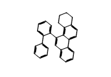 c1ccc(-c2ccccc2-c2cc3ccccc3c3ccc4c(c23)CCCC4)cc1